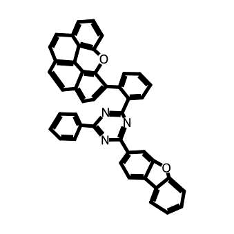 c1ccc(-c2nc(-c3ccc4c(c3)oc3ccccc34)nc(-c3ccccc3-c3ccc4ccc5ccc6cccc7c6c5c4c3O7)n2)cc1